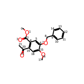 COC(=O)c1cc(OCc2ccccc2)c(OC)cc1C(C)=O